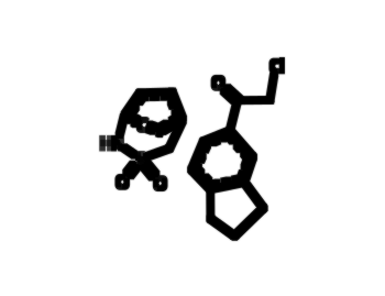 O=C(CCl)c1ccc2c(c1)CCC2.O=S1(=O)Cc2ccc(cc2)N1